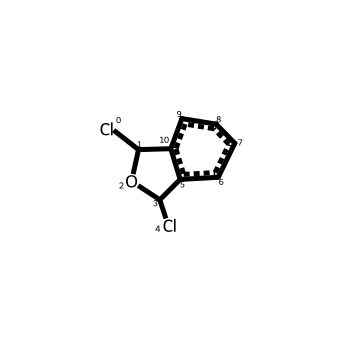 ClC1OC(Cl)c2ccccc21